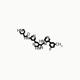 Cc1cc(F)cc(-c2cncc3[nH]c(-c4n[nH]c5cnc(-c6cncc(NC(=O)CC7CCNCC7)c6)cc45)nc23)c1